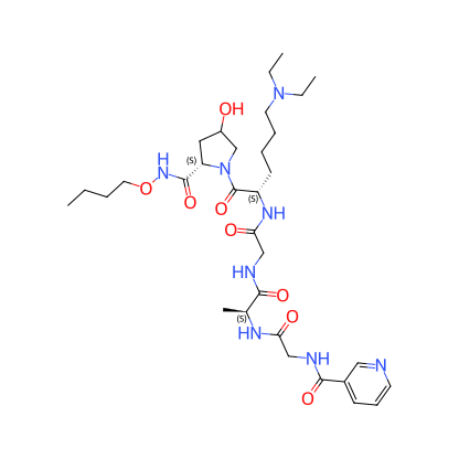 CCCCONC(=O)[C@@H]1CC(O)CN1C(=O)[C@H](CCCCN(CC)CC)NC(=O)CNC(=O)[C@H](C)NC(=O)CNC(=O)c1cccnc1